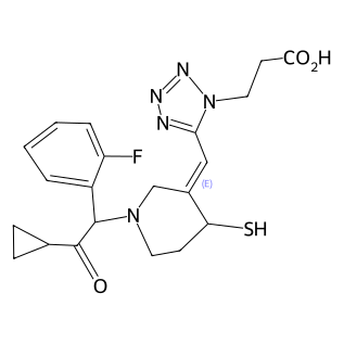 O=C(O)CCn1nnnc1/C=C1\CN(C(C(=O)C2CC2)c2ccccc2F)CCC1S